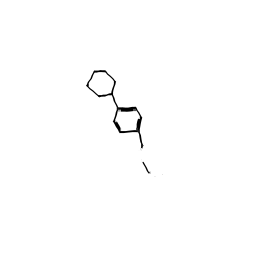 CC(C)OCc1ccc(C2CCCCC2)cc1